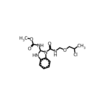 COC(=O)NC1Nc2ccccc2N1C(=O)NCOCC(C)Cl